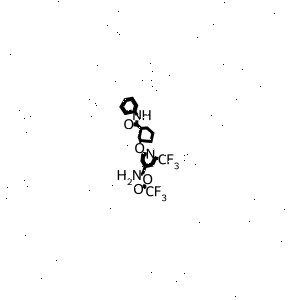 NC(OC(=O)C(F)(F)F)c1cc(O[C@@H]2CCCC(C(=O)Nc3ccccc3)C2)nc(C(F)(F)F)c1